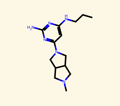 CCCNc1cc(N2CC3CN(C)CC3C2)nc(N)n1